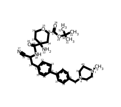 CN1CCN(Cc2ccc(-c3ccc(CC(C#N)NC(=O)C4(N)CCO[C@H](C(=O)OC(C)(C)C)C4)cc3)cc2)CC1